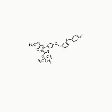 COC(=O)C[C@H](NC(=O)OC(C)(C)C)c1ccc(OCc2cccc(Oc3ccc(F)cc3)c2)cc1